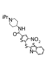 CC(C)N1CCC(NC(=O)c2cc([N+](=O)[O-])c(Sc3nc4ccccc4s3)s2)CC1